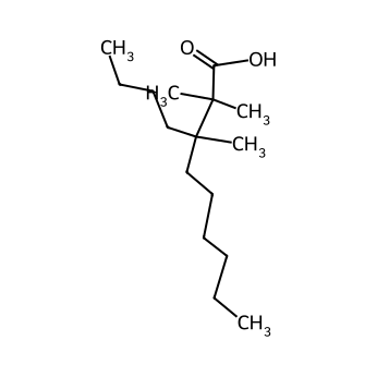 CCCCCCC(C)(CCCC)C(C)(C)C(=O)O